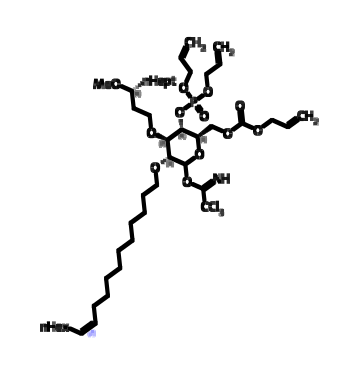 C=CCOC(=O)OC[C@H]1OC(OC(=N)C(Cl)(Cl)Cl)[C@H](OCCCCCCCCCC/C=C\CCCCCC)[C@@H](OCC[C@@H](CCCCCCC)OC)[C@@H]1OP(=O)(OCC=C)OCC=C